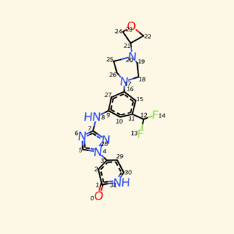 O=c1cc(-n2cnc(Nc3cc(C(F)F)cc(N4CCN(C5COC5)CC4)c3)n2)cc[nH]1